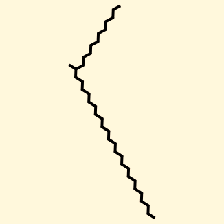 CCCCCCCCCCCCCCCCCCCCCCCCC(C)CCCCCCCCCCC